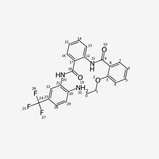 CCOc1ccccc1C(=O)Nc1ccccc1C(=O)Nc1cc(C(F)(F)F)ccc1N